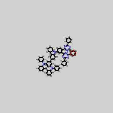 c1ccc(-c2nc(-c3ccccc3)nc(-c3ccc(-n4c5ccccc5c5cc(-c6cc7c8c(c6)N(c6ccccc6)c6ccccc6B8c6ccccc6N7c6ccccc6)ccc54)cc3-c3nc(-c4ccccc4)nc(-c4ccccc4)n3)n2)cc1